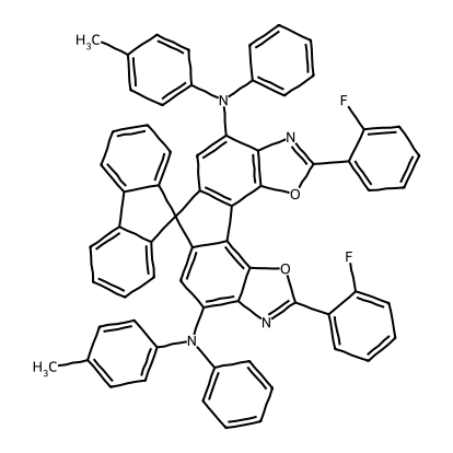 Cc1ccc(N(c2ccccc2)c2cc3c(c4oc(-c5ccccc5F)nc24)-c2c(cc(N(c4ccccc4)c4ccc(C)cc4)c4nc(-c5ccccc5F)oc24)C32c3ccccc3-c3ccccc32)cc1